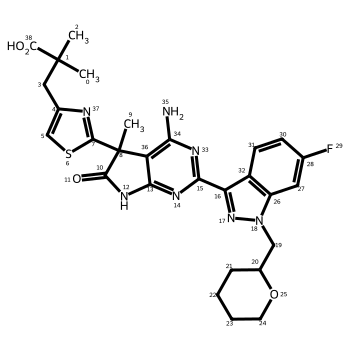 CC(C)(Cc1csc(C2(C)C(=O)Nc3nc(-c4nn(CC5CCCCO5)c5cc(F)ccc45)nc(N)c32)n1)C(=O)O